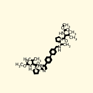 C=C(NCc1ccc(-c2ccc(-c3cnc([C@@H]4CCCN4C(=O)[C@@H](NC(=O)OC)C(C)C)[nH]3)cc2)cc1)[C@@H]1CCCN1C(=O)[C@@H](NC(=O)OC)C(C)C